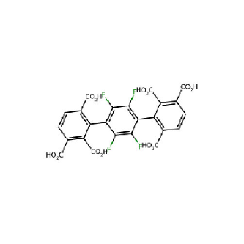 O=C(O)c1ccc(C(=O)O)c(-c2c(F)c(F)c(-c3c(C(=O)O)ccc(C(=O)O)c3C(=O)O)c(F)c2F)c1C(=O)O